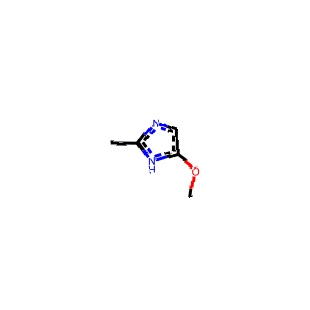 COc1cnc(C)[nH]1